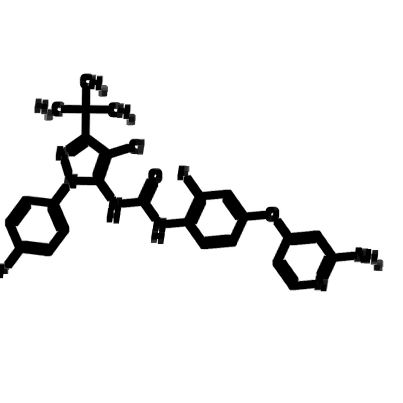 CC(C)(C)c1nn(-c2ccc(F)cc2)c(NC(=O)Nc2ccc(Oc3ccnc(N)c3)cc2F)c1Cl